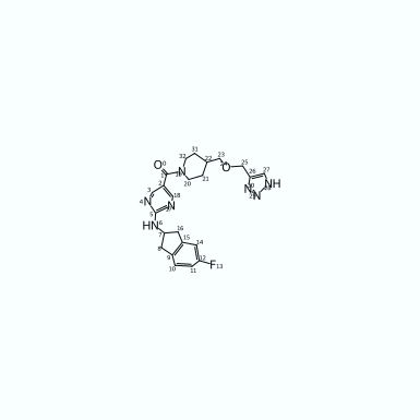 O=C(c1cnc(NC2Cc3ccc(F)cc3C2)nc1)N1CCC(COCc2c[nH]nn2)CC1